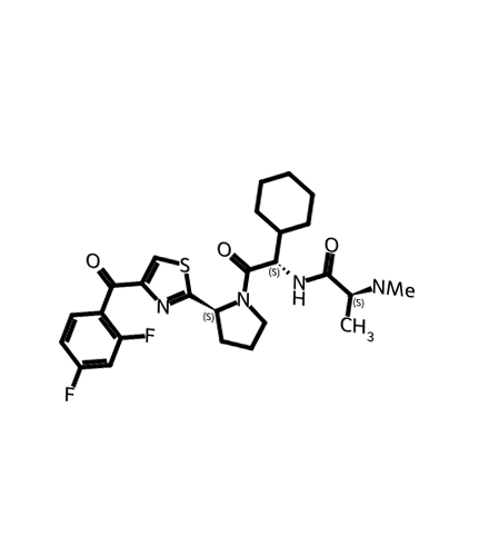 CN[C@@H](C)C(=O)N[C@H](C(=O)N1CCC[C@H]1c1nc(C(=O)c2ccc(F)cc2F)cs1)C1CCCCC1